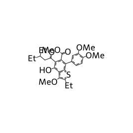 CCc1sc2c(-c3ccc(OC)c(OC)c3)c(C(=O)OC)c(C(=O)CC(CC)CC)c(O)c2c1OC